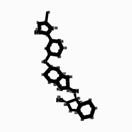 Cc1c[nH]c(-c2cc(Oc3ccc4nc(N[C@@H]5c6ccccc6C[C@@H]5O)sc4c3)ccn2)n1